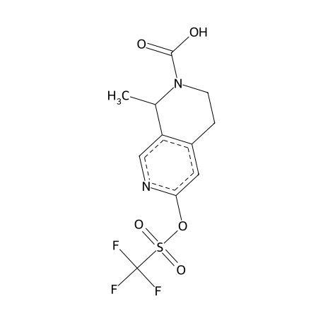 CC1c2cnc(OS(=O)(=O)C(F)(F)F)cc2CCN1C(=O)O